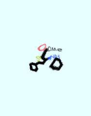 COC(=O)c1sc(-c2ccccc2)cc1NC1CCCCC1